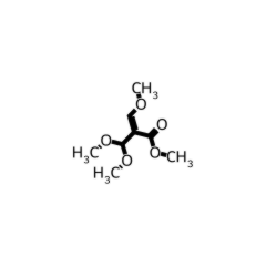 COC=C(C(=O)OC)C(OC)OC